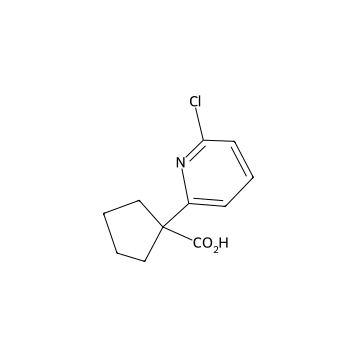 O=C(O)C1(c2cccc(Cl)n2)CCCC1